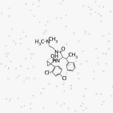 CC(c1ccccc1)C(NC(=O)C1(c2ccc(Cl)cc2Cl)CC1)C(=O)NCCN(C)C